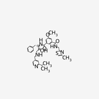 COc1cc(C(=O)NCc2nc(C)cs2)cc(C(=O)N[C@@H](Cc2ccccc2)[C@H](O)CNCc2ccnc(C(C)C)c2)c1